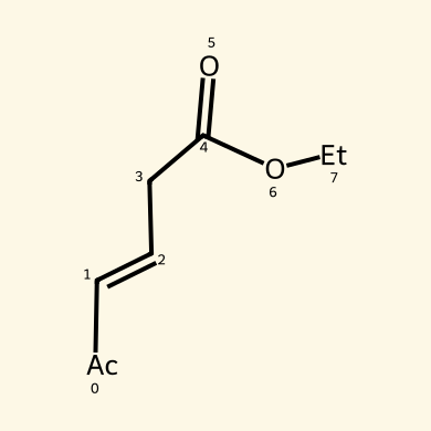 [CH2]C(=O)C=CCC(=O)OCC